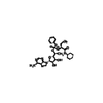 Cc1ncnc2c1ncn2[C@@H]1O[C@H]([C@H](C)OP(=O)(N[C@@H](CC(C)C)C(=O)OC2CCCCC2)Oc2ccccc2)[C@@H](O)[C@H]1O